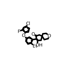 CCc1ccc(Oc2ccc(Cl)cc2F)cc1C1=C(O)CC2(CCOCC2)CC1=O